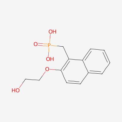 O=P(O)(O)Cc1c(OCCO)ccc2ccccc12